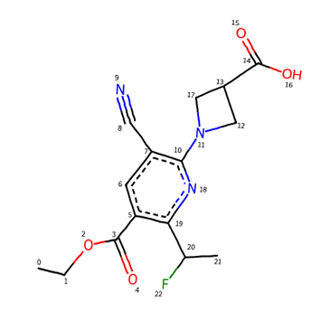 CCOC(=O)c1cc(C#N)c(N2CC(C(=O)O)C2)nc1C(C)F